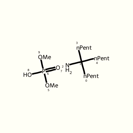 CCCCCC(N)(CCCCC)CCCCC.COP(=O)(O)OC